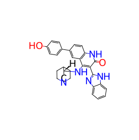 O=c1[nH]c2ccc(-c3ccc(O)cc3)cc2c(N[C@@H]2CN3CCC2CC3)c1-c1nc2ccccc2[nH]1